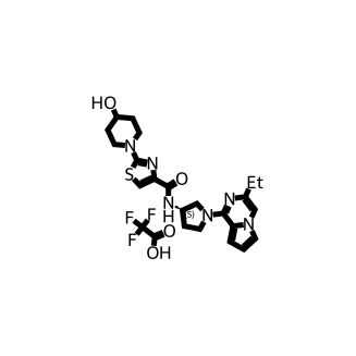 CCc1cn2cccc2c(N2CC[C@H](NC(=O)c3csc(N4CCC(O)CC4)n3)C2)n1.O=C(O)C(F)(F)F